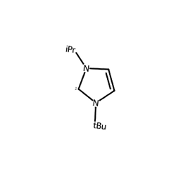 CC(C)N1[C]N(C(C)(C)C)C=C1